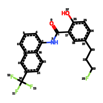 O=C(Nc1cccc2cc(C(F)(F)F)ccc12)c1cc(CCCF)ccc1O